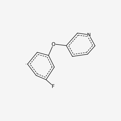 Fc1c[c]cc(Oc2cccnc2)c1